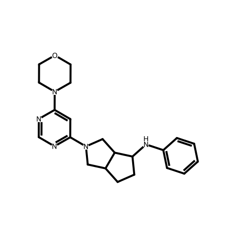 c1ccc(NC2CCC3CN(c4cc(N5CCOCC5)ncn4)CC32)cc1